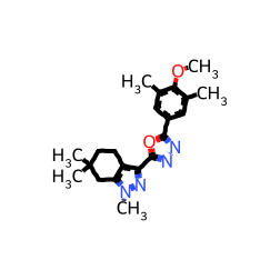 COc1c(C)cc(-c2nnc(-c3nn(C)c4c3CCC(C)(C)C4)o2)cc1C